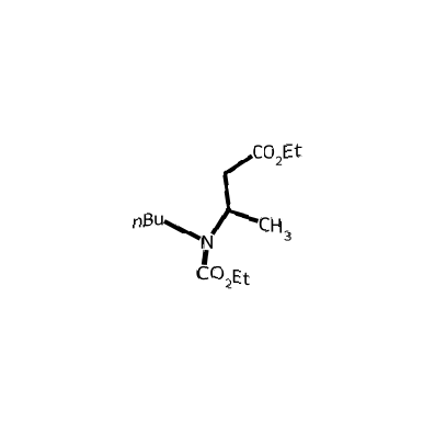 CCCCN(C(=O)OCC)C(C)CC(=O)OCC